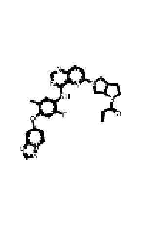 C=CC(=O)N1CCC2CN(c3ccc4ncnc(Nc5cc(C)c(Oc6ccn7ncnc7c6)cc5F)c4n3)CC21